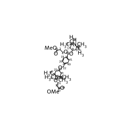 COC(=O)CCOC(OC1CC(C)(C)NC(C)(C)C1)c1ccc(COC2CC(C)(C)N(OCCC(=O)OC)C(C)(C)C2)cc1